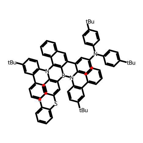 CC(C)(C)c1ccc(N(c2ccc(C(C)(C)C)cc2)c2ccc3c(c2)-c2cc4ccccc4c4c2B(c2cc5c(cc2N4c2ccc(C(C)(C)C)cc2-c2ccccc2)Sc2ccccc2S5)N3c2ccc(C(C)(C)C)cc2-c2ccccc2)cc1